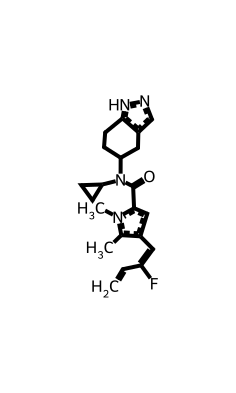 C=C/C(F)=C\c1cc(C(=O)N(C2CC2)C2CCc3[nH]ncc3C2)n(C)c1C